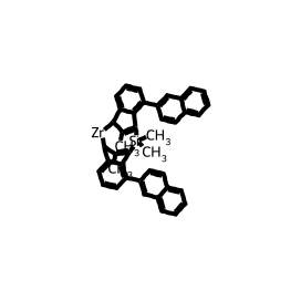 CC1=C2c3c(-c4ccc5ccccc5c4)cccc3[CH]1[Zr][CH]1C(C)=C(c3c(-c4ccc5ccccc5c4)cccc31)[Si]2(C)C